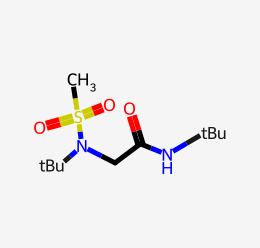 CC(C)(C)NC(=O)CN(C(C)(C)C)S(C)(=O)=O